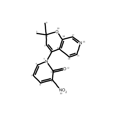 CC1(C)C=C(n2cccc([N+](=O)[O-])c2=O)c2ccncc2O1